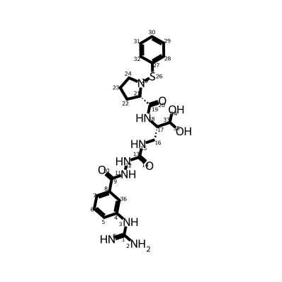 N=C(N)Nc1cccc(C(=O)NNC(=O)NC[C@H](NC(=O)[C@@H]2CCCN2Sc2ccccc2)C(O)O)c1